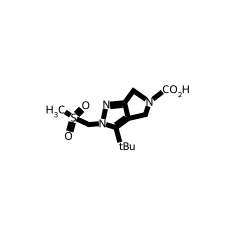 CC(C)(C)c1c2c(nn1CS(C)(=O)=O)CN(C(=O)O)C2